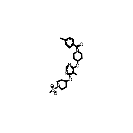 Cc1ccc(C(=O)N2CCC(Oc3ncnc(OC4CCN(S(C)(=O)=O)CC4)c3C)CC2)cc1